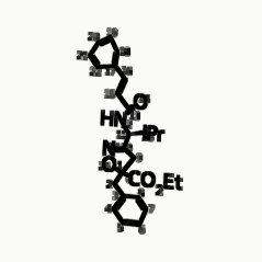 CCOC(=O)C1(Cc2ccccc2)CC([C@@H](NC(=O)C=Cc2ccccc2)C(C)C)=NO1